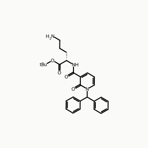 CC(C)(C)OC(=O)[C@H](CCCN)NC(=O)c1cccn(C(c2ccccc2)c2ccccc2)c1=O